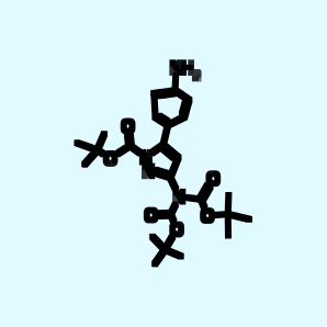 CC(C)(C)OC(=O)N(C(=O)OC(C)(C)C)c1cc(-c2ccc(N)cc2)n(C(=O)OC(C)(C)C)n1